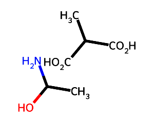 CC(C(=O)O)C(=O)O.CC(N)O